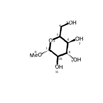 CO[C@@H]1OC(CO)[C@@H](O)[C@H](O)C1O